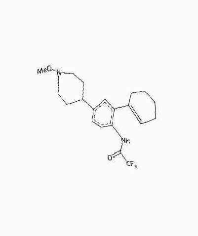 CON1CCC(c2ccc(NC(=O)C(F)(F)F)c(C3=CCCCC3)c2)CC1